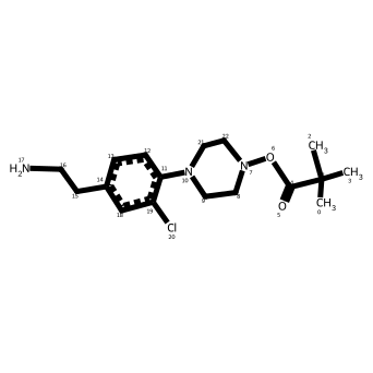 CC(C)(C)C(=O)ON1CCN(c2ccc(CCN)cc2Cl)CC1